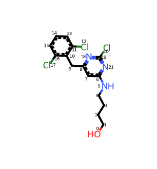 OCCCCNc1cc(Cc2c(Cl)cccc2Cl)nc(Cl)n1